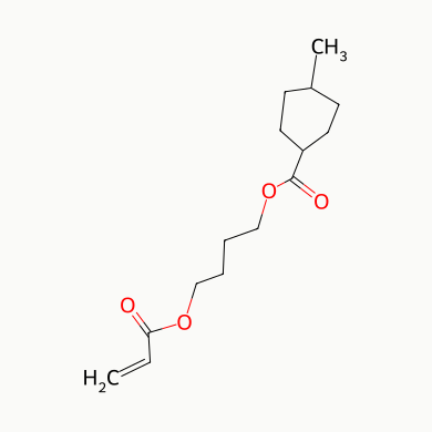 C=CC(=O)OCCCCOC(=O)C1CCC(C)CC1